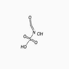 Cl.O=C=NS(=O)(=O)O